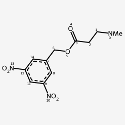 CNCCC(=O)OCc1cc([N+](=O)[O-])cc([N+](=O)[O-])c1